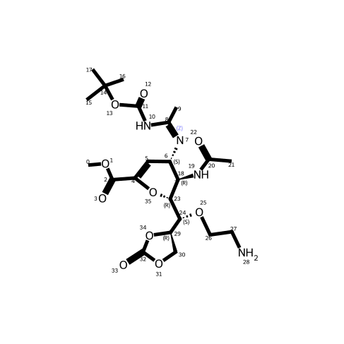 COC(=O)C1=C[C@H](/N=C(/C)NC(=O)OC(C)(C)C)[C@@H](NC(C)=O)[C@H]([C@H](OCCN)[C@H]2COC(=O)O2)O1